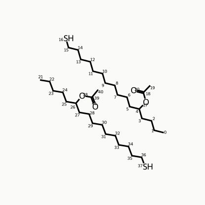 CCCCC(CCCCCCCCCCCS)OC(C)=O.CCCCCC(CCCCCCCCCCS)OC(C)=O